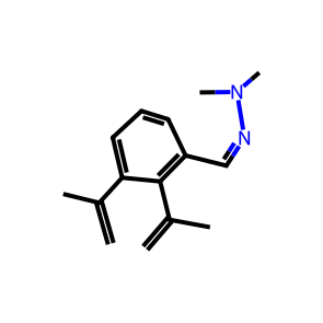 C=C(C)c1cccc(/C=N\N(C)C)c1C(=C)C